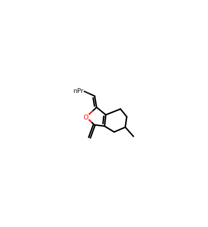 C=c1o/c(=C\CCC)c2c1CC(C)CC2